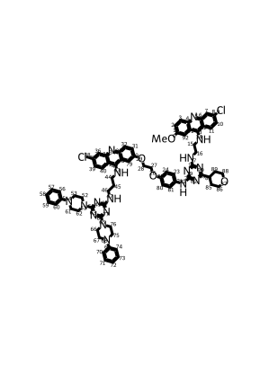 COc1ccc2nc3cc(Cl)ccc3c(NCCNc3nc(Nc4ccc(OCCOc5ccc6nc7cc(Cl)ccc7c(NCCCNc7nc(N8CCN(c9ccccc9)CC8)nc(N8CCN(c9ccccc9)CC8)n7)c6c5)cc4)nc(C4CCOCC4)n3)c2c1